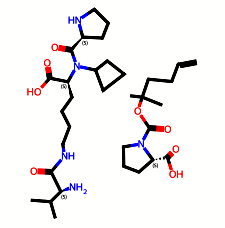 C=CCCC(C)(C)OC(=O)N1CCC[C@H]1C(=O)O.CC(C)[C@H](N)C(=O)NCCCC[C@@H](C(=O)O)N(C(=O)[C@@H]1CCCN1)C1CCC1